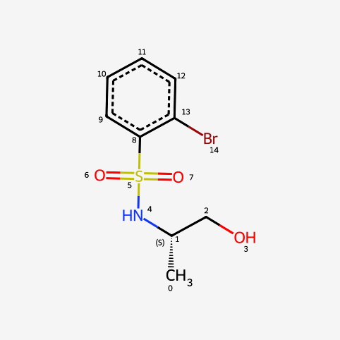 C[C@@H](CO)NS(=O)(=O)c1ccccc1Br